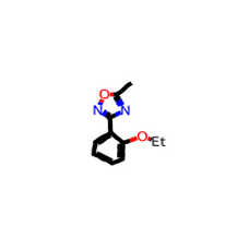 CCOc1ccccc1-c1noc(C)n1